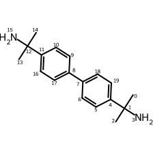 CC(C)(N)c1ccc(-c2ccc(C(C)(C)N)cc2)cc1